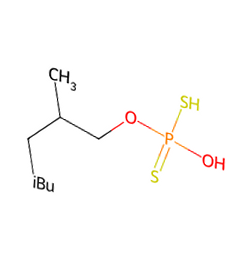 CCC(C)CC(C)COP(O)(=S)S